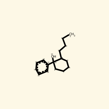 CCCCC1CCCCC1(O)c1ccccc1